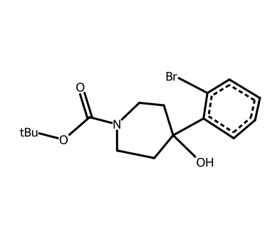 CC(C)(C)OC(=O)N1CCC(O)(c2ccccc2Br)CC1